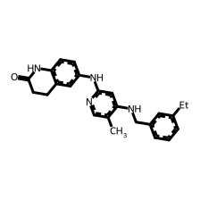 CCc1cccc(CNc2cc(Nc3ccc4c(c3)CCC(=O)N4)ncc2C)c1